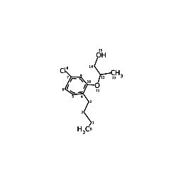 CCCCc1ccc(Cl)cc1OC(C)CO